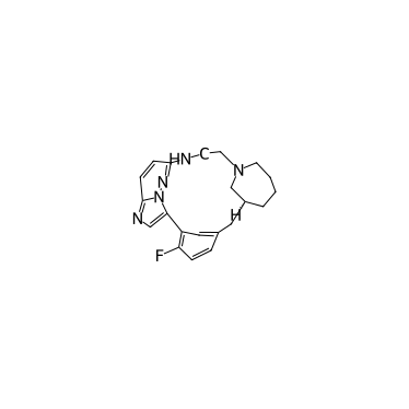 Fc1ccc2cc1-c1cnc3ccc(nn13)NCCN1CCCC[C@@H](C2)C1